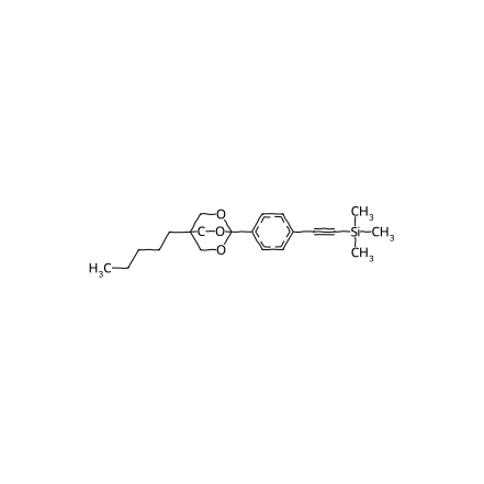 CCCCCC12COC(c3ccc(C#C[Si](C)(C)C)cc3)(OC1)OC2